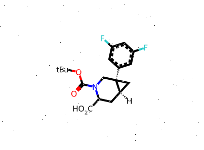 CC(C)(C)OC(=O)N1C[C@@]2(c3cc(F)cc(F)c3)C[C@H]2CC1C(=O)O